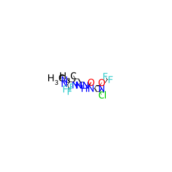 Cc1cc(CNC(=O)Nc2cc(Cl)nc(OCC(F)F)c2)nnc1-c1cn(C)nc1C(F)(F)F